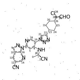 C[C@H](C#N)Nc1cc(-n2ncc3cc(C#N)cnc32)ncc1-n1cc(C2CCC([C@@H](Cl)C=O)CC2)nn1